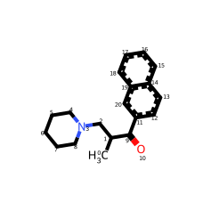 CC(CN1CCCCC1)C(=O)c1ccc2ccccc2c1